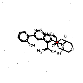 C=CC(=O)N1[C@@H]2COC[C@H]1CC(c1[nH]c3nnc(-c4ccccc4O)cc3c1C(=C)C)C2